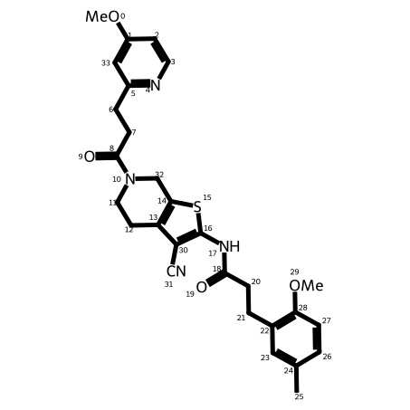 COc1ccnc(CCC(=O)N2CCc3c(sc(NC(=O)CCc4cc(C)ccc4OC)c3C#N)C2)c1